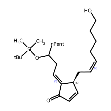 CCCCCC(C/C=C1/C(=O)C=C[C@@H]1C/C=C\CCCCO)O[Si](C)(C)C(C)(C)C